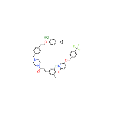 Cc1cc(/C=C/C(=O)N2CCN(Cc3ccc(CCOc4ccc(C5CC5)cc4)cc3)CC2)cc(Cl)c1Oc1ccc(OCc2ccc(C(F)(F)F)cc2)cn1.Cl